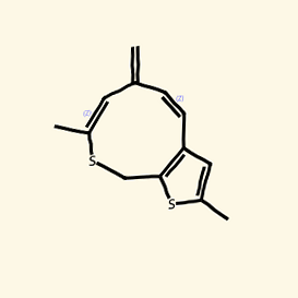 C=C1/C=C\c2cc(C)sc2CS/C(C)=C\1